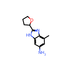 Cc1cc(N)cc2[nH]c(C3CCCO3)nc12